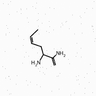 C=C(N)C(N)C/C=C\C